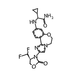 NC(=O)C(Nc1ccc2c(c1)OCCn1cc(N3C(=O)OC[C@H]3C(F)F)nc1-2)C1CC1